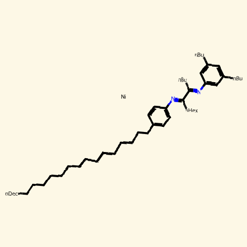 CCCCCCCCCCCCCCCCCCCCCCCCCc1ccc(/N=C(CCCCCC)/C(CCCC)=N/c2cc(CCCC)cc(CCCC)c2)cc1.[Ni]